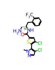 Cn1ncc(Cl)c1-c1sc(C(=O)N[C@H](CN)Cc2ccccc2C(F)(F)F)cc1Cl